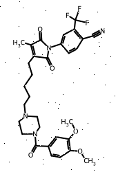 COc1ccc(C(=O)N2CCN(CCCCCC3=C(C)C(=O)N(c4ccc(C#N)c(C(F)(F)F)c4)C3=O)CC2)cc1OC